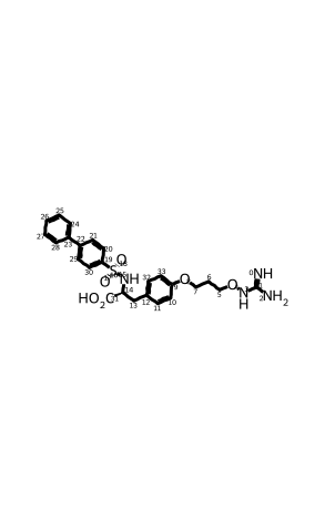 N=C(N)NOCCCOc1ccc(C[C@H](NS(=O)(=O)c2ccc(-c3ccccc3)cc2)C(=O)O)cc1